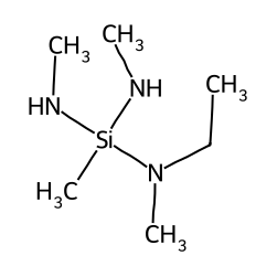 CCN(C)[Si](C)(NC)NC